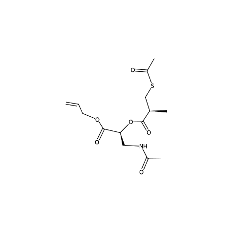 C=CCOC(=O)[C@H](CNC(C)=O)OC(=O)[C@H](C)CSC(C)=O